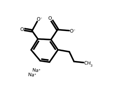 CCCc1cccc(C(=O)[O-])c1C(=O)[O-].[Na+].[Na+]